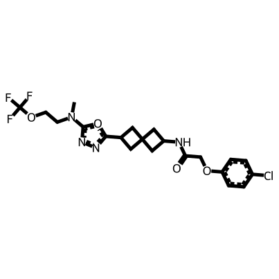 CN(CCOC(F)(F)F)c1nnc(C2CC3(CC(NC(=O)COc4ccc(Cl)cc4)C3)C2)o1